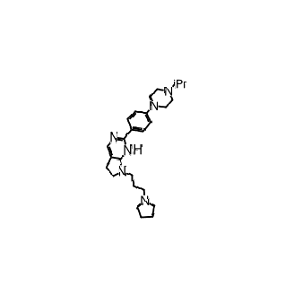 CC(C)N1CCN(c2ccc(C3=NC=C4CCN(CCCN5CCCC5)C4N3)cc2)CC1